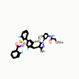 CCCCc1nn(-c2cc(NC(=O)COC)ccc2C(F)(F)F)c(C#N)c1Cc1ccc(-c2cccc(F)c2S(=O)(=O)NC(=O)c2ccccc2F)cc1F